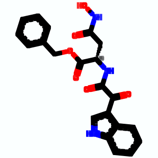 O=C(C[C@H](NC(=O)C(=O)c1c[nH]c2ccccc12)C(=O)OCc1ccccc1)NO